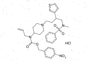 C=CCN(C(=O)OCc1ccc([N+](=O)[O-])cc1)C1CCN(CCC(CN(C)S(=O)(=O)c2ccccc2)c2ccsc2)CC1.Cl